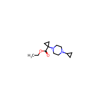 CCOC(=O)C1(N2CCN(C3CC3)CC2)CC1